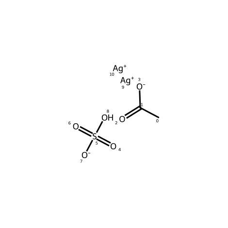 CC(=O)[O-].O=S(=O)([O-])O.[Ag+].[Ag+]